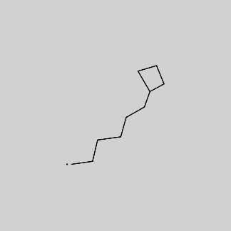 [CH2]CCCCCC1CCC1